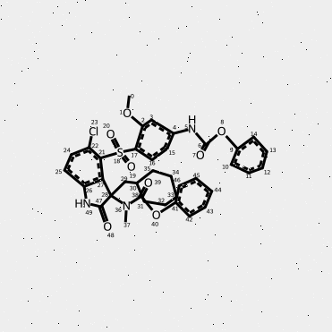 COc1cc(NC(=O)Oc2ccccc2)ccc1S(=O)(=O)c1c(Cl)ccc2c1C(CC1CCCCC1)(N(C)C(=O)Oc1ccccc1)C(=O)N2